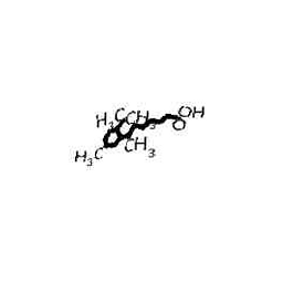 CC1CCC(C(C)C)C(C(C)CCCCCC(=O)O)C1